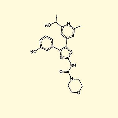 Cc1cc(-c2sc(NC(=O)N3CCOCC3)nc2-c2cccc(C#N)c2)cc(C(C)O)n1